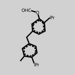 Cc1cc(Cc2ccc(C(C)C)c(OC=O)c2)ccc1C(C)C